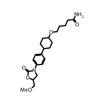 COCC1CN(c2ccc(C3CCC(OCCCCC(N)=O)CC3)cc2)C(=O)O1